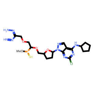 COP(S)C(COC/C(N=N)=N/N)OCC1CCC(n2ncc3c(NC4CCCC4)nc(Cl)nc32)O1